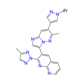 Cc1cnn(-c2nc3ncccc3cc2-c2cnc3cc(-c4cnn(C(C)C)c4)c(C)nn23)n1